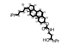 CCCC(O)CCNC(=O)OC1CC[C@@]2(C)C(=CCC3C2CC[C@@]2(C)C3CC[C@@H]2[C@@H](C)CCCC(C)C)C1